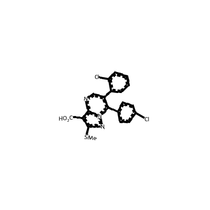 CSc1nn2c(-c3ccc(Cl)cc3)c(-c3ccccc3Cl)cnc2c1C(=O)O